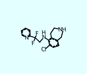 FC(F)(CNc1c(Cl)ccc2c1CCNCC2)c1ccccn1